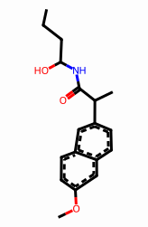 CCCC(O)NC(=O)C(C)c1ccc2cc(OC)ccc2c1